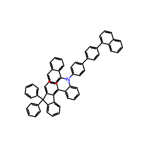 c1ccc(C2(c3ccccc3)c3ccccc3-c3c(-c4ccccc4N(c4ccc(-c5ccc(-c6cccc7ccccc67)cc5)cc4)c4cccc5ccccc45)cccc32)cc1